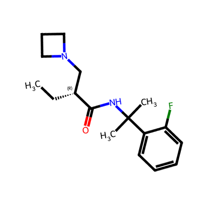 CC[C@H](CN1CCC1)C(=O)NC(C)(C)c1ccccc1F